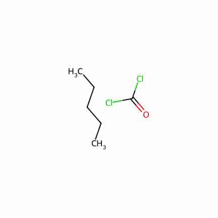 CCCCC.O=C(Cl)Cl